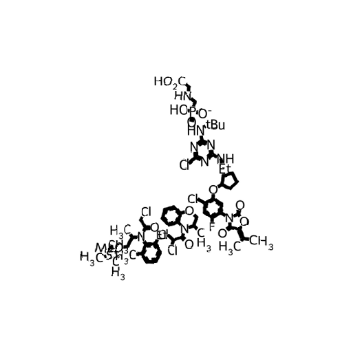 CC(C)=C1OC(=O)N(c2cc(OC3CCCC3)c(Cl)cc2F)C1=O.CC1COc2ccccc2N1C(=O)C(Cl)Cl.CCNc1nc(Cl)nc(NC(C)(C)C)n1.CCc1cccc(C)c1N(C(=O)CCl)C(C)COC.C[S+](C)C.O=C(O)CNCP(=O)([O-])O